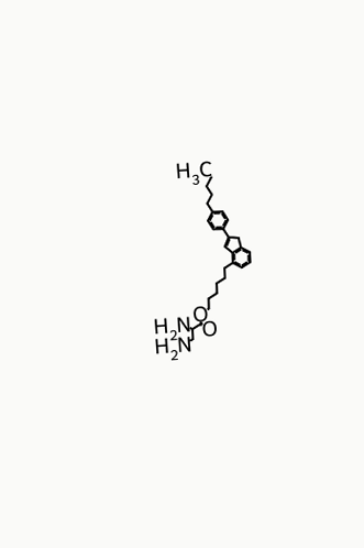 CCCCCc1ccc(C2=Cc3c(CCCCCCOC(=O)C(N)CN)cccc3C2)cc1